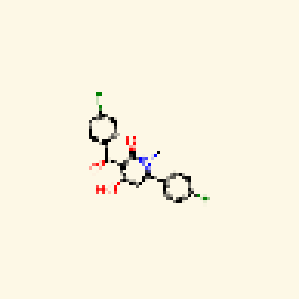 Cn1c(-c2ccc(F)cc2)cc(O)c(C(=O)c2ccc(F)cc2)c1=O